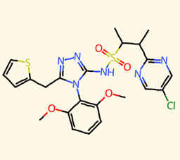 COc1cccc(OC)c1-n1c(Cc2cccs2)nnc1NS(=O)(=O)C(C)C(C)c1ncc(Cl)cn1